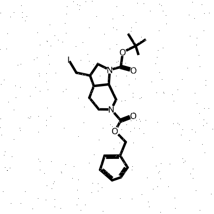 CC(C)(C)OC(=O)N1CC(CI)C2CCN(C(=O)OCc3ccccc3)CC21